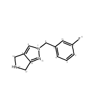 Fc1cccc(Cn2cc3c(n2)CNC3)c1